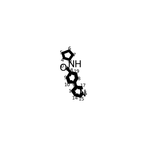 O=C(NC1CCCC1)c1ccc(-c2cccnc2)cc1